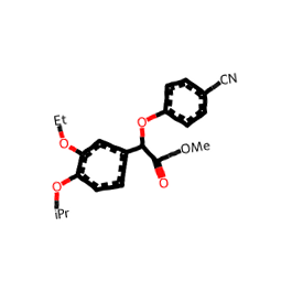 CCOc1cc(C(Oc2ccc(C#N)cc2)C(=O)OC)ccc1OC(C)C